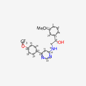 COc1cccc(C(O)CNc2cc(-c3ccc(OC(F)(F)F)cc3)ncn2)c1